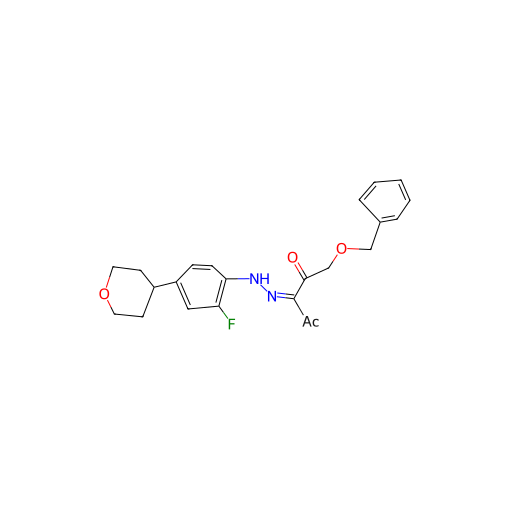 CC(=O)C(=NNc1ccc(C2CCOCC2)cc1F)C(=O)COCc1ccccc1